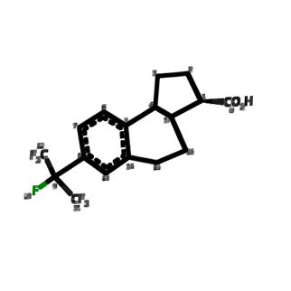 O=C(O)[C@@H]1CCC2c3ccc(C(F)(C(F)(F)F)C(F)(F)F)cc3CCC21